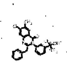 Cc1cc2c(=O)n(-c3cccc(C(O)(C(F)(F)F)C(F)(F)F)c3)c(Cc3ccccc3)nc2cc1Cl